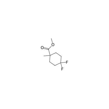 COC(=O)C1(C)CCC(F)(F)CC1